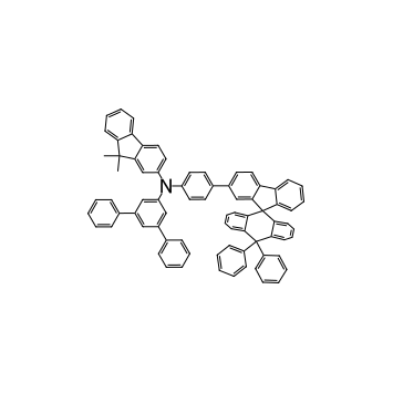 CC1(C)c2ccccc2-c2ccc(N(c3ccc(-c4ccc5c(c4)C4(c6ccccc6-5)c5ccccc5C(c5ccccc5)(c5ccccc5)c5ccccc54)cc3)c3cc(-c4ccccc4)cc(-c4ccccc4)c3)cc21